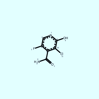 NC(=O)c1c(F)cnc(O)c1Cl